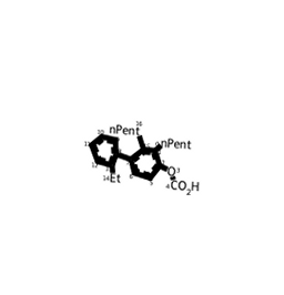 CCCCCc1c(OC(=O)O)ccc(-c2ccccc2CC)c1CCCCC